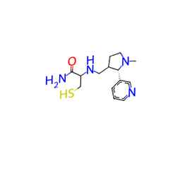 CN1CCC(CNC(CS)C(N)=O)[C@H]1c1cccnc1